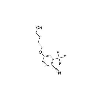 N#Cc1ccc(OCCCCO)cc1C(F)(F)F